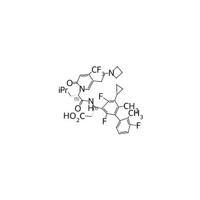 Cc1c(F)cccc1-c1c(C)c(C2CC2)c(F)c([C@H](CC(=O)O)NC(=O)[C@H](CC(C)C)n2cc(CCN3CCC3)c(C(F)(F)F)cc2=O)c1F